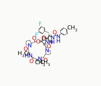 Cc1ccc(NC(=O)N[C@@H](Cc2cc(F)cc(F)c2)C(=O)N[C@@H]2C(=O)N3CCCC3C(=O)N(C)[C@@H](C)C(=O)N[C@@H](C)C(=O)N3CCCC3C(=O)O[C@H]2C)cc1